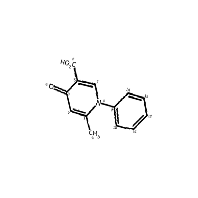 Cc1cc(=O)c(C(=O)O)cn1-c1ccccc1